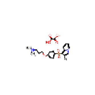 CCCCN(C)CCCOc1ccc(S(=O)(=O)c2c(CC)cn3ccccc23)cc1.O=C(O)C(=O)O